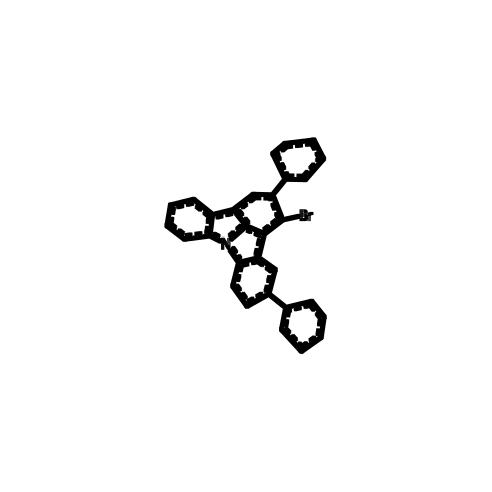 Brc1c(-c2ccccc2)cc2c3ccccc3n3c4ccc(-c5ccccc5)cc4c1c23